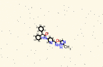 Cc1ncc(OC(=N)c2ccc(NC(=O)C(c3ccccc3)c3ccccc3)cn2)[nH]1